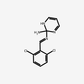 NC1(/N=C/c2c(Cl)cccc2Cl)N=CC=CN1